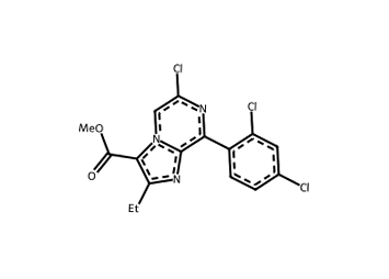 CCc1nc2c(-c3ccc(Cl)cc3Cl)nc(Cl)cn2c1C(=O)OC